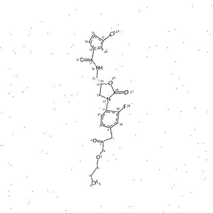 CCCOCC(=O)Cc1ccc(N2C[C@H](CNC(=O)c3ccc(Cl)s3)OC2=O)c(F)c1